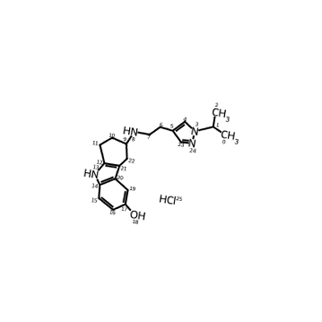 CC(C)n1cc(CCNC2CCc3[nH]c4ccc(O)cc4c3C2)cn1.Cl